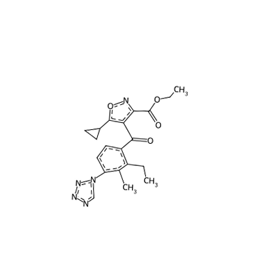 CCOC(=O)c1noc(C2CC2)c1C(=O)c1ccc(-n2cnnn2)c(C)c1CC